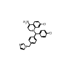 NC1=CCN(C(c2ccc(Cl)cc2)c2ccc(Cn3ccnc3)cc2)c2cc(Cl)ccc21